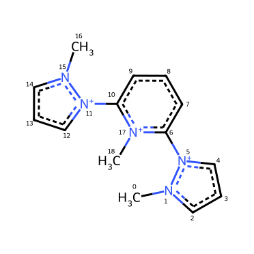 Cn1ccc[n+]1-c1cccc(-[n+]2cccn2C)[n+]1C